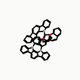 c1ccc(-n2c3ccccc3c3ccc4c5ccccc5n(-c5cc(-c6ccc7ccccc7c6)cc(-n6c7ccccc7c7ccc8c9ccccc9n(-c9ccccc9)c8c76)c5)c4c32)cc1